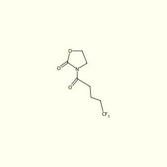 O=C(CCCC(F)(F)F)N1CCOC1=O